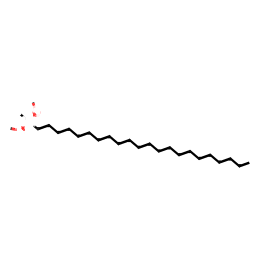 CCCCCCCCCCCCCCCCCCCCCC[Si](C)(OC)OC